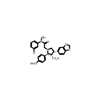 CCCCN(C(=O)CN1C[C@H](c2ccc3c(c2)OCO3)[C@H](C(=O)O)[C@H]1c1ccc(OC)cc1)c1cccc(Cl)c1